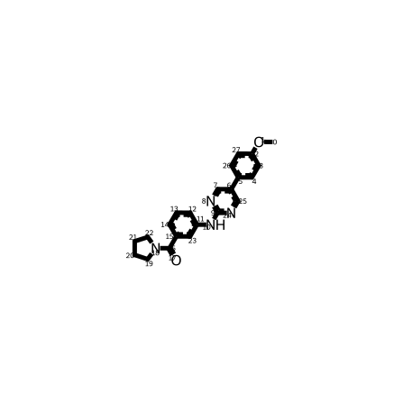 COc1ccc(-c2cnc(Nc3cccc(C(=O)N4CCCC4)c3)nc2)cc1